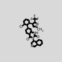 Cn1cc(-c2cccc(Cl)c2-c2ccc3c(=O)n(-c4cncc5ccccc45)c(=O)[nH]c3c2)c(C(F)(F)F)n1